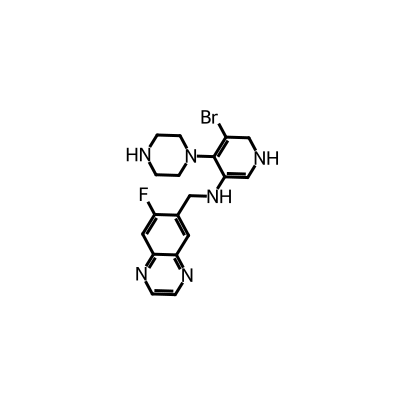 Fc1cc2nccnc2cc1CNC1=CNCC(Br)=C1N1CCNCC1